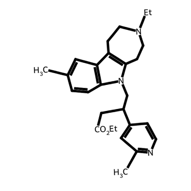 CCOC(=O)CC(Cn1c2c(c3cc(C)ccc31)CCN(CC)CC2)c1ccnc(C)c1